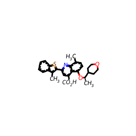 Cc1c(-c2cc(C(=O)O)c3c(O[C@H](C)C4CCOCC4)ccc(C)c3n2)sc2ccccc12